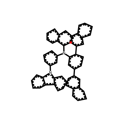 c1cc(N(c2cc(-c3ccc4ccccc4c3)ccc2-c2ccc3ccccc3c2)c2cccc3ccccc23)cc(-n2c3ccccc3c3ccccc32)c1